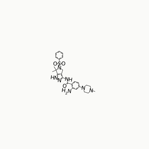 CN1CCN(c2ccc(C(=O)Nc3n[nH]c4c3CN(S(=O)(=O)c3ccccc3)C4(C)C)c(N)c2)CC1